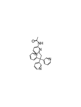 CC(=O)Nc1cccc(CC(c2cccnc2)(c2cccnc2)c2ccccn2)n1